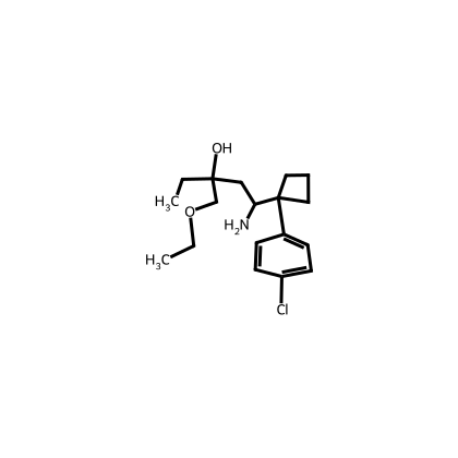 CCOCC(O)(CC)CC(N)C1(c2ccc(Cl)cc2)CCC1